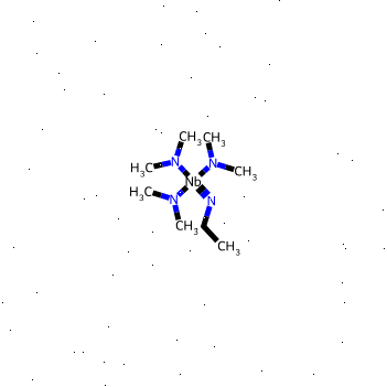 CC[N]=[Nb]([N](C)C)([N](C)C)[N](C)C